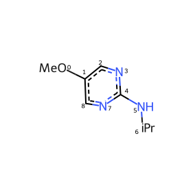 COc1cnc(NC(C)C)nc1